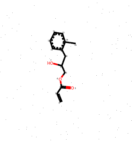 C=CC(=O)OCC(O)Cc1ccccc1C